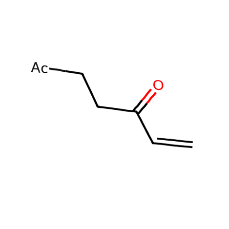 C=CC(=O)CCC(C)=O